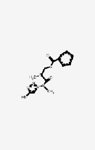 C[C@H](CSC(=O)c1ccccc1)C(=O)N(C)[n+]1cc([NH-])on1